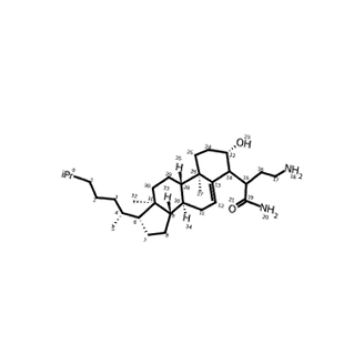 CC(C)CCC[C@@H](C)[C@H]1CC[C@H]2[C@@H]3CC=C4C(C(CCN)C(N)=O)[C@@H](O)CC[C@]4(C)[C@H]3CC[C@]12C